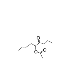 CCCCC(OC(C)=O)C(=O)CCC